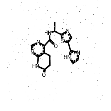 CC(NC(=O)c1ncnc2c1CCC(=O)N2)c1ncc(-c2ncc[nH]2)s1